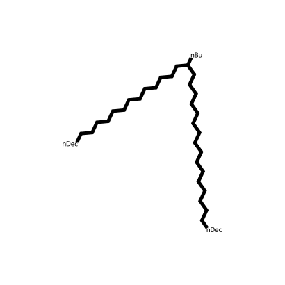 [CH2]CCCC(CCCCCCCCCCCCCCCCCCCCCCC)CCCCCCCCCCCCCCCCCCCCCCCCCC